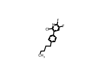 CCCCCc1ccc(-c2cc(F)c(F)nc2Cl)cc1